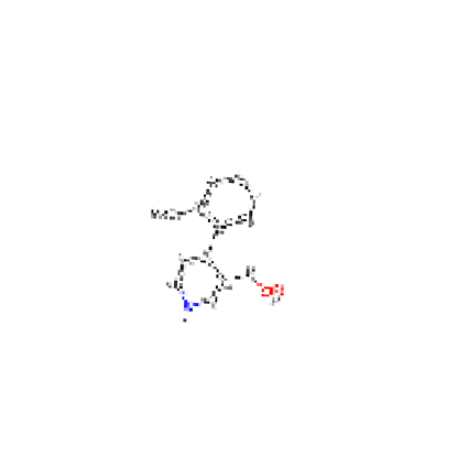 COc1c[c]ccc1-c1ccncc1CO